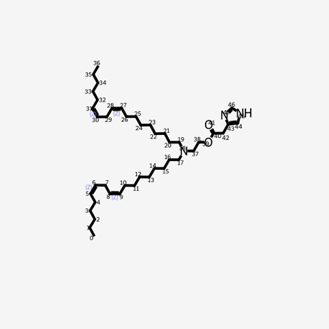 CCCCC/C=C\C/C=C\CCCCCCCCN(CCCCCCCC/C=C\C/C=C\CCCCC)CCOC(=O)Cc1c[nH]cn1